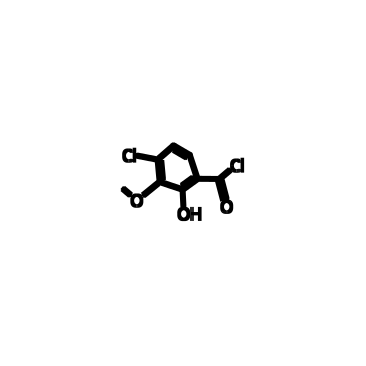 COc1c(Cl)ccc(C(=O)Cl)c1O